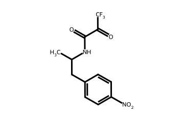 CC(Cc1ccc([N+](=O)[O-])cc1)NC(=O)C(=O)C(F)(F)F